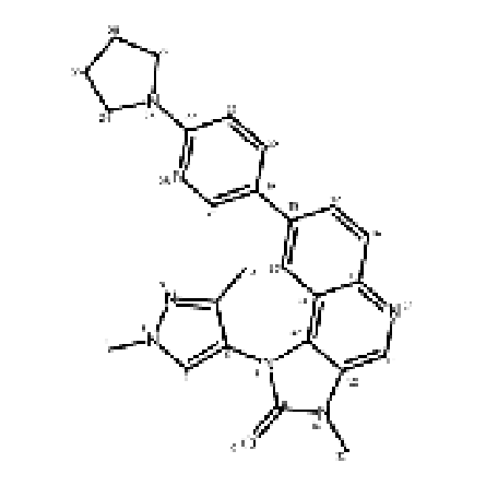 Cc1nn(C)cc1-n1c(=O)n(C)c2cnc3ccc(-c4ccc(N5CCCC5)nc4)cc3c21